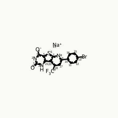 O=c1nc([O-])c2sc3nc(-c4ccc(Br)cc4)cc(C(F)(F)F)c3c2[nH]1.[Na+]